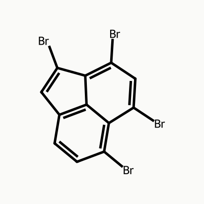 BrC1=Cc2ccc(Br)c3c(Br)cc(Br)c1c23